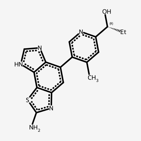 CC[C@@H](O)c1cc(C)c(-c2cc3nc(N)sc3c3[nH]cnc23)cn1